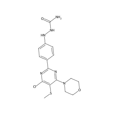 CSc1c(Cl)nc(-c2ccc(NNC(N)=O)cc2)nc1N1CCOCC1